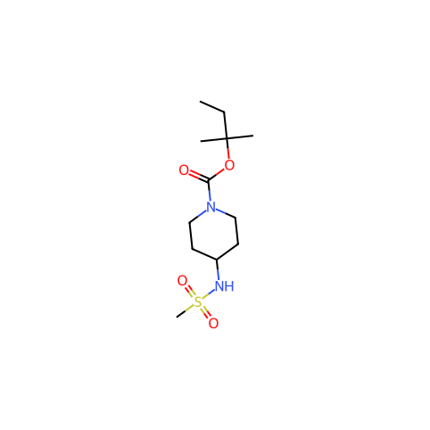 CCC(C)(C)OC(=O)N1CCC(NS(C)(=O)=O)CC1